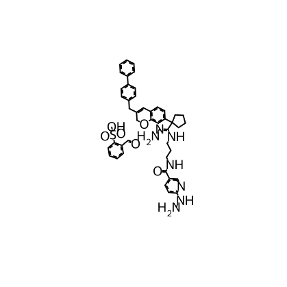 NN=C(NCCCNC(=O)c1ccc(NN)nc1)C1(c2ccc3c(c2)OCC(Cc2ccc(-c4ccccc4)cc2)=C3)CCCC1.O=Cc1ccccc1S(=O)(=O)O